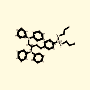 CCCO[SiH](OCCC)c1ccc(CCC(CP(c2ccccc2)c2ccccc2)P(c2ccccc2)c2ccccc2)cc1